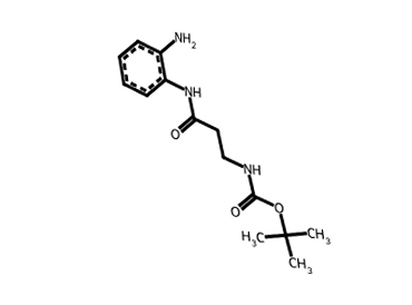 CC(C)(C)OC(=O)NCCC(=O)Nc1ccccc1N